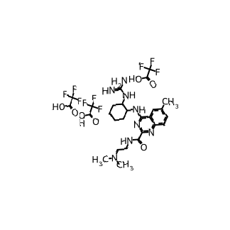 Cc1ccc2nc(C(=O)NCCN(C)C)nc(NC3CCCCC3NC(=N)N)c2c1.O=C(O)C(F)(F)F.O=C(O)C(F)(F)F.O=C(O)C(F)(F)F